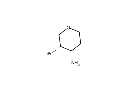 CC(C)[C@@H]1COCC[C@@H]1N